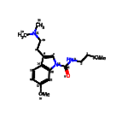 COCCNC(=O)n1cc(CCN(C)C)c2ccc(OC)cc21